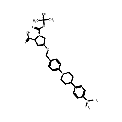 CN(C)c1ccc(C2CCN(c3ccc(CO[C@H]4C[C@@H](C(=O)O)N(C(=O)OC(C)(C)C)C4)cc3)CC2)cc1